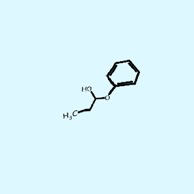 CCC(O)Oc1[c]cccc1